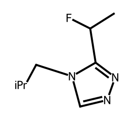 CC(C)Cn1cnnc1C(C)F